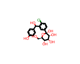 OC[C@H]1O[C@@](O)(c2ccc(Cl)c(C(O)c3ccc(O)cc3)c2)[C@H](O)[C@@H](O)[C@@H]1O